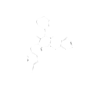 Cc1ccc(CC2C(=O)N(Cc3ccccc3)C(=O)N(C3CCCCC3)C2=O)cc1